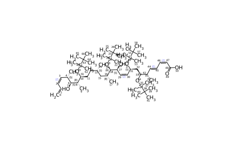 C=C/C=C\[C@H](C)[C@H](O)[C@@H](C)[C@H](CC[C@H](C)C[C@@H](C)[C@@H](O[Si](C)(C)C(C)(C)C)[C@@H](C)/C=C\[C@H](C[C@H](O[Si](C)(C)C(C)(C)C)[C@@H](C)/C=C/C=C\C(=O)O)O[Si](C)(C)C(C)(C)C)O[Si](C)(C)C(C)(C)C